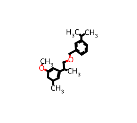 COC1=CC(C(C)COCc2cccc(C(C)C)c2)=CC(C)C1